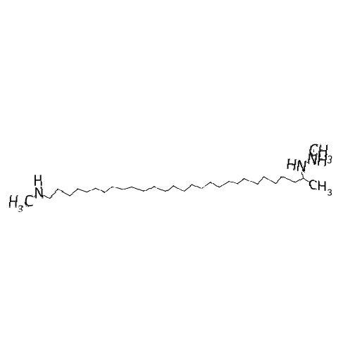 CNCCCCCCCCCCCCCCCCCCCCCCCCCCCC(C)NNC